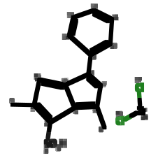 CC1=C(S(=O)(=O)O)C2=C(C)C=C(c3ccccc3)C2=[C]1.[Cl][Zr][Cl]